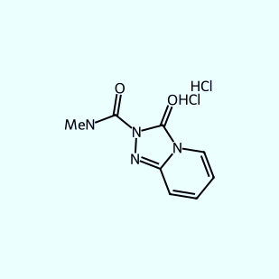 CNC(=O)n1nc2ccccn2c1=O.Cl.Cl